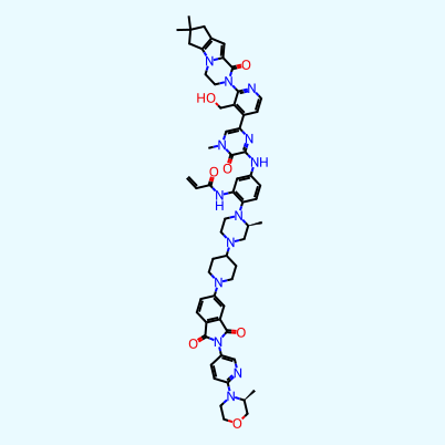 C=CC(=O)Nc1cc(Nc2nc(-c3ccnc(N4CCn5c(cc6c5CC(C)(C)C6)C4=O)c3CO)cn(C)c2=O)ccc1N1CCN(C2CCN(c3ccc4c(c3)C(=O)N(c3ccc(N5CCOC[C@@H]5C)nc3)C4=O)CC2)C[C@@H]1C